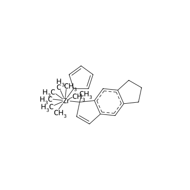 C[C]1([Zr]([CH3])([CH3])([CH3])([CH3])([CH3])([CH3])([CH3])[CH]2C=CC=C2)C=Cc2cc3c(cc21)CCC3